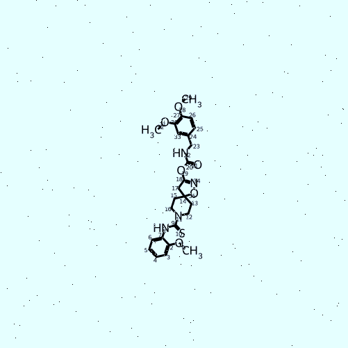 COc1ccccc1NC(=S)N1CCC2(CC1)CC(OC(=O)NCc1ccc(OC)c(OC)c1)=NO2